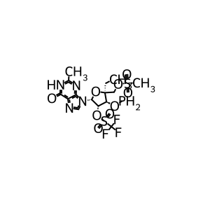 CC[C@@]1(COS(C)(=O)=O)O[C@@H](n2cnc3c(=O)[nH]c(C)nc32)[C@@H](OS(=O)(=O)C(F)(F)F)[C@@H]1OP